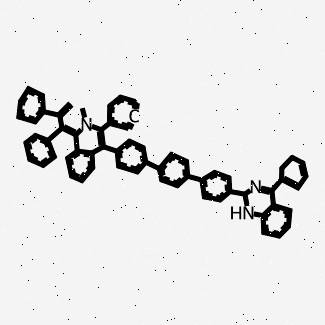 C=C(/C(=C1/c2ccccc2C(c2ccc(-c3ccc(-c4ccc(C5N=C(C6=CC=CCC6)c6ccccc6N5)cc4)cc3)cc2)=C(c2ccccc2)N1C)c1ccccc1)c1ccccc1